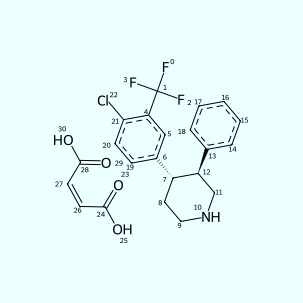 FC(F)(F)c1cc([C@H]2CCNC[C@@H]2c2ccccc2)ccc1Cl.O=C(O)/C=C\C(=O)O